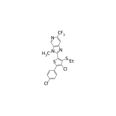 CCSc1c(-c2nc3cc(C(F)(F)F)ncc3n2C)sc(-c2ccc(Cl)cc2)c1Cl